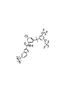 CC(C)(c1cc(Cl)cc(NC(=O)c2cc3cc(C(C)(C)S(C)(=O)=O)ccc3s2)c1)c1cc(OCC(F)(F)F)cc(OC(F)(F)F)c1